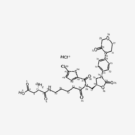 Cl.N[C@@H](CC(=O)O)C(=O)NCCCCC(=O)N(C[C@H]1CN(c2ccc(N3CCOCC3=O)cc2)C(=O)O1)C(=O)c1ccc(Cl)s1